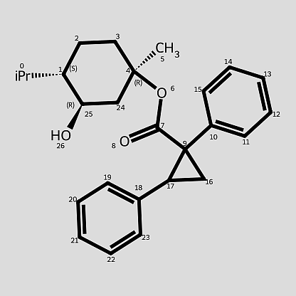 CC(C)[C@@H]1CC[C@@](C)(OC(=O)C2(c3ccccc3)CC2c2ccccc2)C[C@H]1O